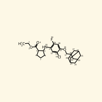 CCOC(=O)C1CCCC1Nc1cc(Cl)c(OCC23CC4CC(CC(C4)C2)C3)cc1F